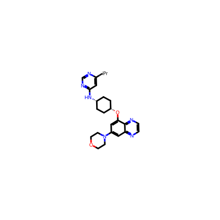 CC(C)c1cc(N[C@H]2CC[C@@H](Oc3cc(N4CCOCC4)cc4nccnc34)CC2)ncn1